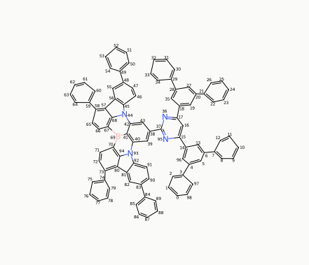 c1ccc(-c2cc(-c3ccccc3)cc(-c3cc(-c4cc(-c5ccccc5)cc(-c5ccccc5)c4)nc(-c4cc5c6c(c4)-n4c7ccc(-c8ccccc8)cc7c7c(-c8ccccc8)ccc(c74)B6c4ccc(-c6ccccc6)c6c7cc(-c8ccccc8)ccc7n-5c46)n3)c2)cc1